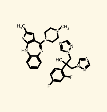 Cc1cc2c(s1)Nc1ccccc1N=C2N1CCN(C)CC1.OC(Cn1cncn1)(Cn1cncn1)c1ccc(F)cc1F